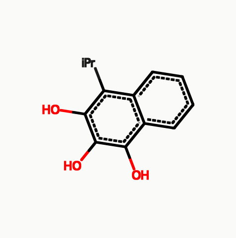 CC(C)c1c(O)c(O)c(O)c2ccccc12